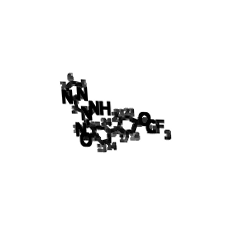 NN(Cc1ncccn1)c1noc2ccc(-c3ccc(OC(F)(F)F)cc3)cc12